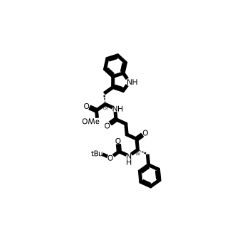 COC(=O)[C@H](Cc1c[nH]c2ccccc12)NC(=O)CCC(=O)[C@H](Cc1ccccc1)NC(=O)OC(C)(C)C